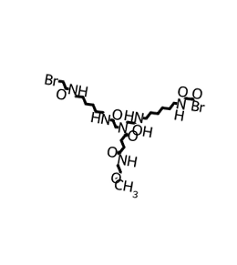 COCCNC(=O)CCC(=O)N(CC(=O)NCCCCCCNC(=O)CBr)CC(O)NCCCCCCNC(=O)C(=O)Br